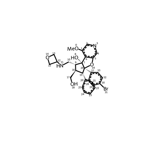 COc1cncc2c1[C@]1(O)[C@@H](CNC3COC3)[C@H](CO)[C@@H](c3ccccc3)[C@]1(c1ccc(Br)cc1)O2